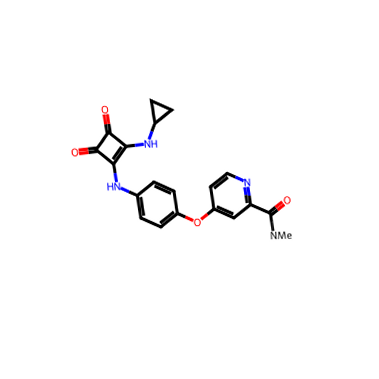 CNC(=O)c1cc(Oc2ccc(Nc3c(NC4CC4)c(=O)c3=O)cc2)ccn1